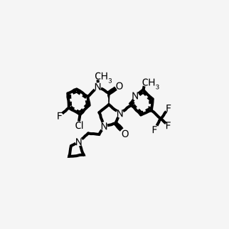 Cc1cc(C(F)(F)F)cc(N2C(=O)N(CCN3CCC3)C[C@H]2C(=O)N(C)c2ccc(F)c(Cl)c2)n1